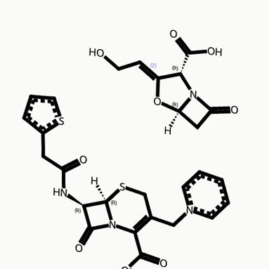 O=C(Cc1cccs1)N[C@@H]1C(=O)N2C(C(=O)[O-])=C(C[n+]3ccccc3)CS[C@H]12.O=C(O)[C@H]1/C(=C/CO)O[C@@H]2CC(=O)N21